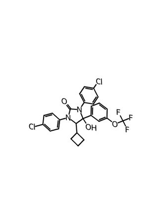 O=C1N(c2ccc(Cl)cc2)C(C2CCC2)C(O)(c2cccc(OC(F)(F)F)c2)N1c1ccc(Cl)cc1